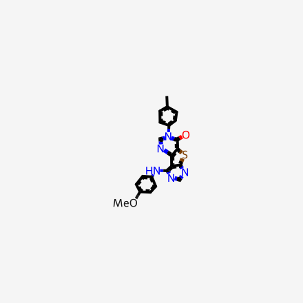 COc1ccc(Nc2ncnc3sc4c(=O)n(-c5ccc(C)cc5)cnc4c23)cc1